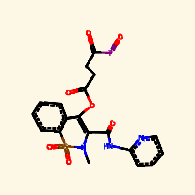 CN1C(C(=O)Nc2ccccn2)=C(OC(=O)CCC(=O)P=O)c2ccccc2S1(=O)=O